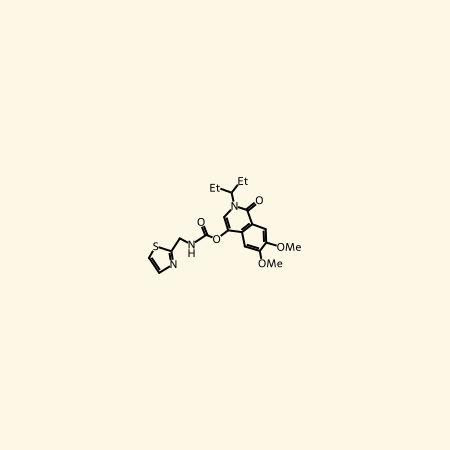 CCC(CC)n1cc(OC(=O)NCc2nccs2)c2cc(OC)c(OC)cc2c1=O